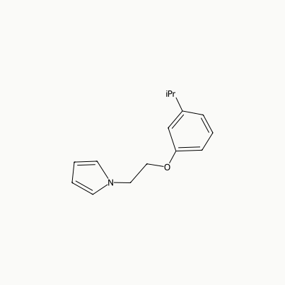 CC(C)c1cccc(OCCn2cccc2)c1